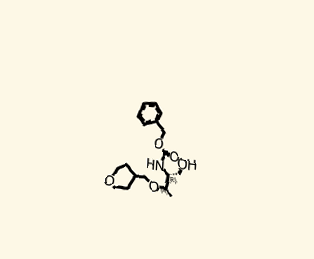 C[C@@H](OCC1CCOCC1)[C@@H](CO)NC(=O)OCc1ccccc1